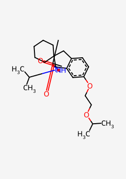 CC(C)OCCOc1ccc2c(c1)C1(NC(=O)N(C(C)C)C1=O)C1(CCCCC1)C2